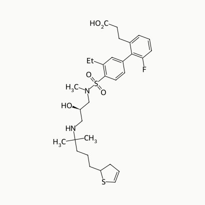 CCc1cc(-c2c(F)cccc2CCC(=O)O)ccc1S(=O)(=O)N(C)C[C@H](O)CNC(C)(C)CCCC1CC=CS1